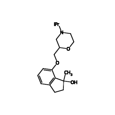 CC(C)N1CCOC(COc2cccc3c2C(C)(O)CC3)C1